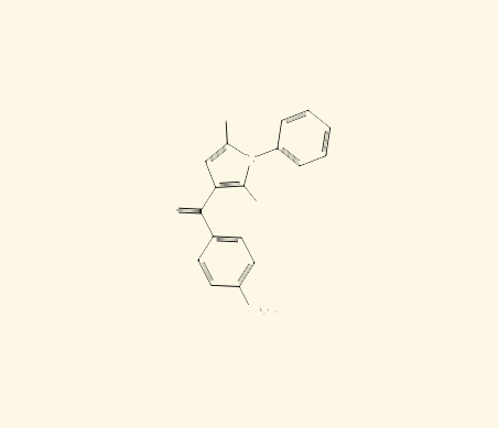 COc1ccc(C(=O)c2cc(C(F)(F)F)n(-c3ccccc3)c2C)cc1